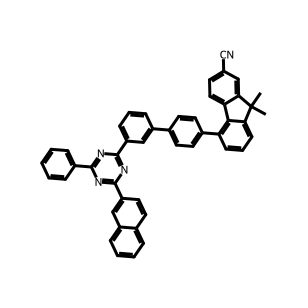 CC1(C)c2cc(C#N)ccc2-c2c(-c3ccc(-c4cccc(-c5nc(-c6ccccc6)nc(-c6ccc7ccccc7c6)n5)c4)cc3)cccc21